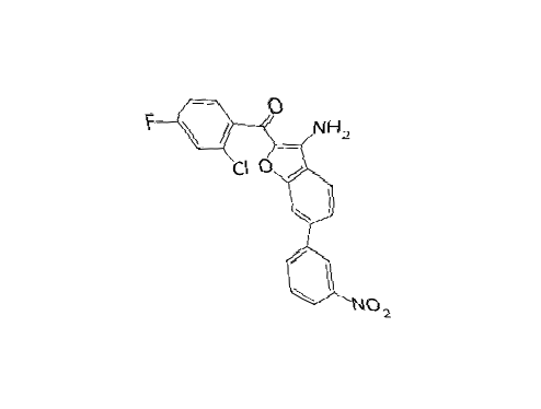 Nc1c(C(=O)c2ccc(F)cc2Cl)oc2cc(-c3cccc([N+](=O)[O-])c3)ccc12